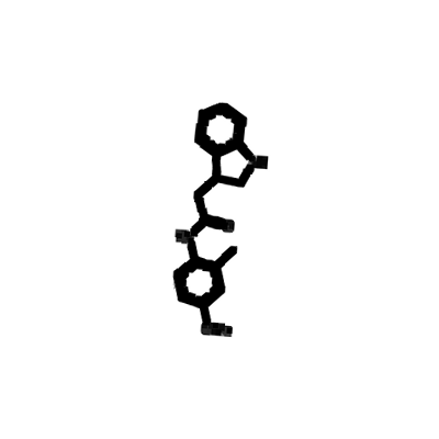 COc1ccc(NC(=O)CC2CNc3ccccc32)c(C)c1